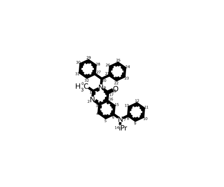 Cc1nc2ccc(N(c3ccccc3)C(C)C)cc2c(=O)n1C(c1ccccc1)c1ccccc1